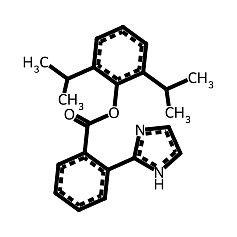 CC(C)c1cccc(C(C)C)c1OC(=O)c1ccccc1-c1ncc[nH]1